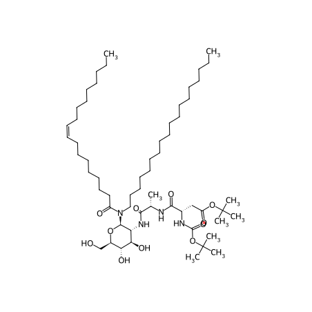 CCCCCCCC/C=C\CCCCCCCC(=O)N(CCCCCCCCCCCCCCCCCC)[C@@H]1O[C@H](CO)[C@@H](O)[C@H](O)[C@H]1NC(=O)[C@H](C)NC(=O)[C@H](CC(=O)OC(C)(C)C)NC(=O)OC(C)(C)C